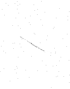 [CH]=C/C=C/CCCCCCCCCCCCCCCCCCCCCCCCCCCCCCCCC